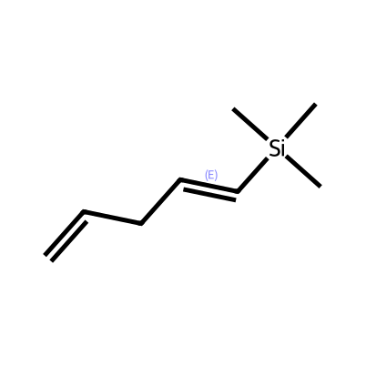 C=CC/C=C/[Si](C)(C)C